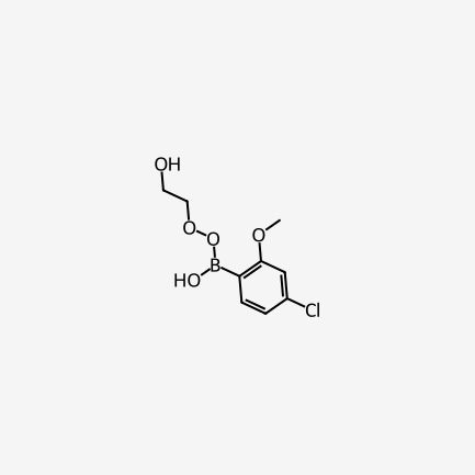 COc1cc(Cl)ccc1B(O)OOCCO